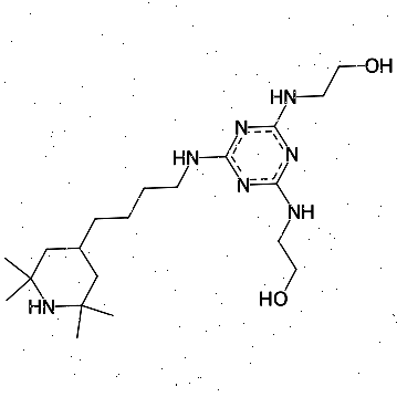 CC1(C)CC(CCCCNc2nc(NCCO)nc(NCCO)n2)CC(C)(C)N1